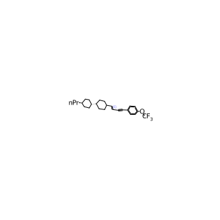 CCC[C@H]1CC[C@H](C2CCC(/C=C/C#Cc3ccc(OC(F)(F)F)cc3)CC2)CC1